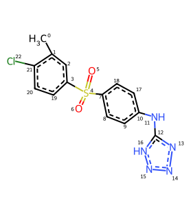 Cc1cc(S(=O)(=O)c2ccc(Nc3nnn[nH]3)cc2)ccc1Cl